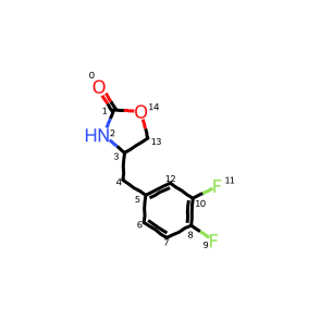 O=C1NC(Cc2ccc(F)c(F)c2)CO1